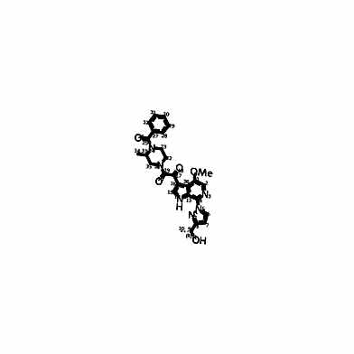 COc1cnc(-n2ccc([C@@H](C)O)n2)c2[nH]cc(C(=O)C(=O)N3CCN(C(=O)c4ccccc4)C(C)C3)c12